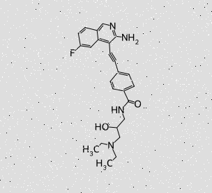 CCN(CC)CC(O)CNC(=O)c1ccc(C#Cc2c(N)ncc3ccc(F)cc23)cc1